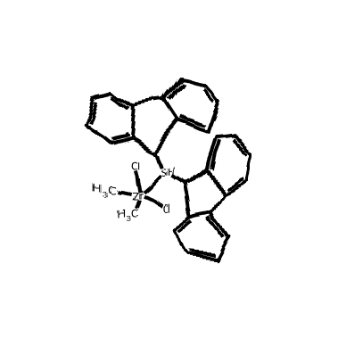 [CH3][Zr]([CH3])([Cl])([Cl])[SiH](C1c2ccccc2-c2ccccc21)C1c2ccccc2-c2ccccc21